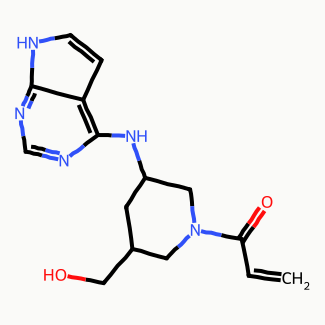 C=CC(=O)N1CC(CO)CC(Nc2ncnc3[nH]ccc23)C1